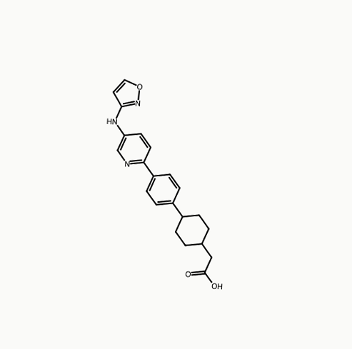 O=C(O)CC1CCC(c2ccc(-c3ccc(Nc4ccon4)cn3)cc2)CC1